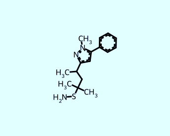 CC(CC(C)(C)SN)c1cc(-c2ccccc2)n(C)n1